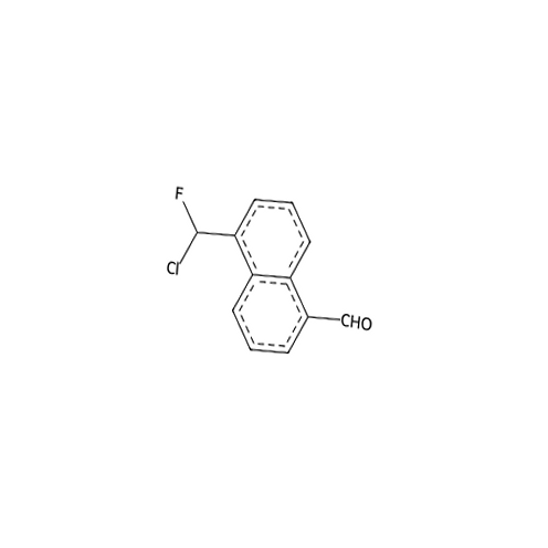 O=Cc1cccc2c(C(F)Cl)cccc12